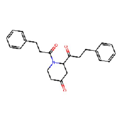 O=C1CCN(C(=O)CCc2ccccc2)C(C(=O)CCc2ccccc2)C1